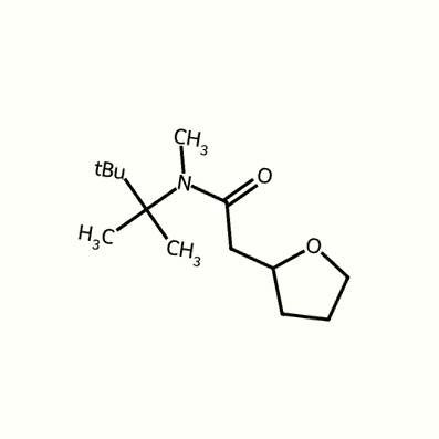 CN(C(=O)CC1CCCO1)C(C)(C)C(C)(C)C